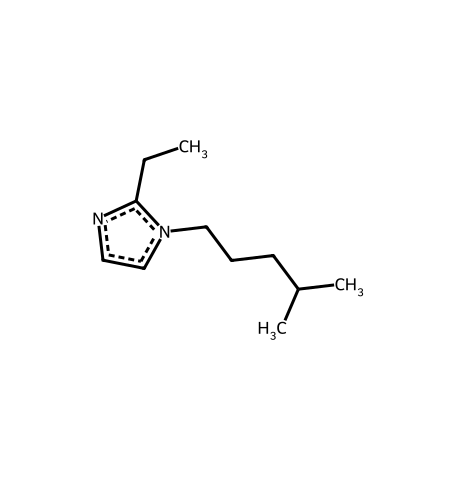 CCc1nccn1CCCC(C)C